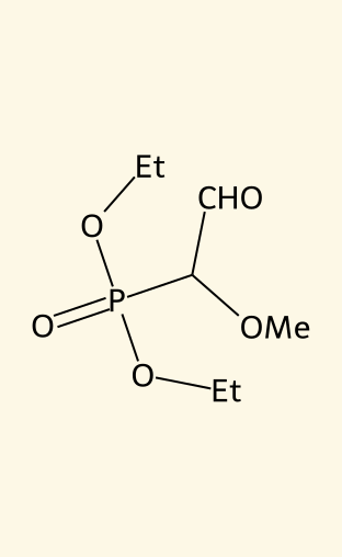 CCOP(=O)(OCC)C(C=O)OC